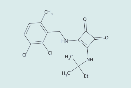 CCC(C)(C)Nc1c(NCc2c(C)ccc(Cl)c2Cl)c(=O)c1=O